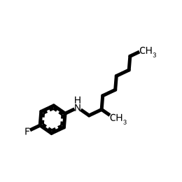 CCCCCCC(C)CNc1ccc(F)cc1